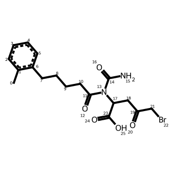 Cc1ccccc1CCCCC(=O)N(C(N)=O)C(CC(=O)CBr)C(=O)O